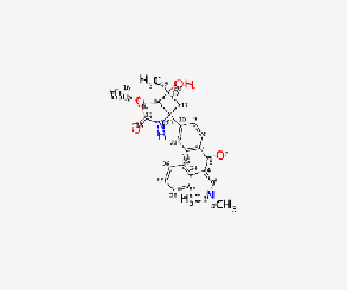 CN(C)C=C(C(=O)c1ccc(C2(NC(=O)OC(C)(C)C)CC(C)(O)C2)cc1)c1ccccc1